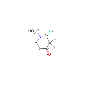 CC1(C)C(=O)CCN(C(=O)O)C1F